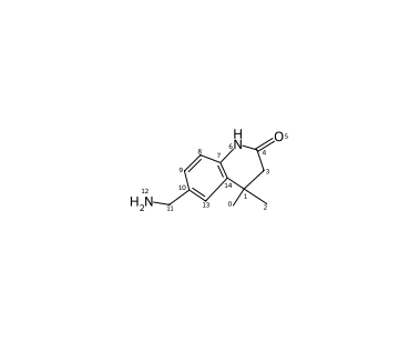 CC1(C)CC(=O)Nc2ccc(CN)cc21